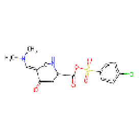 CN(C)C=C1CNC(C(=O)OS(=O)(=O)c2ccc(Cl)cc2)CC1=O